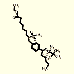 CCCCCC(O[Si](C)(C)C(C)(C)C)c1ccc(CN(CCCCCCC(=O)OCC)S(C)(=O)=O)cc1